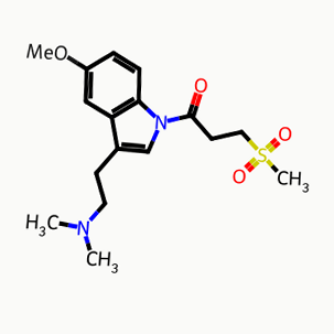 COc1ccc2c(c1)c(CCN(C)C)cn2C(=O)CCS(C)(=O)=O